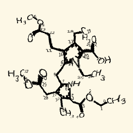 CCOC(=O)c1[nH]c(Cc2c(CCC(=O)OC)c(CC)c(C(=O)O)n2CC)c(CC(=O)OC)c1C